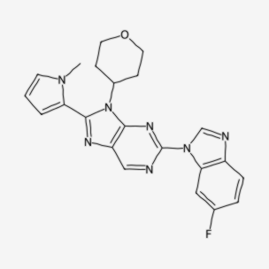 Cn1cccc1-c1nc2cnc(-n3cnc4ccc(F)cc43)nc2n1C1CCOCC1